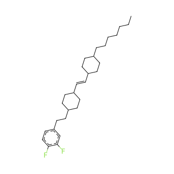 CCCCCCCC1CCC(/C=C/C2CCC(CCc3ccc(F)c(F)c3)CC2)CC1